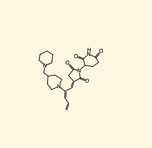 C=C/C=C(\C=C1/CC(=O)N(C2CCC(=O)NC2=O)C1=O)N1CCC(CN2CCCCC2)CC1